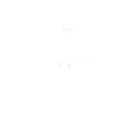 CCCN(C(=O)CCN)N(C(C)C)C(C)C